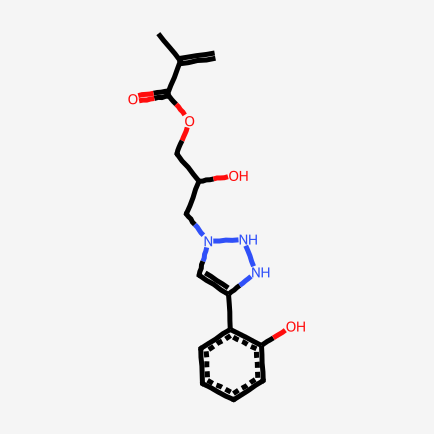 C=C(C)C(=O)OCC(O)CN1C=C(c2ccccc2O)NN1